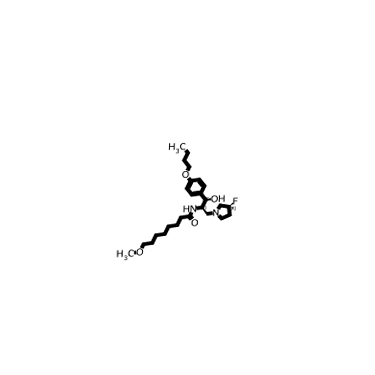 CCCCOc1ccc([C@@H](O)[C@@H](CN2CC[C@@H](F)C2)NC(=O)CCCCCCCOC)cc1